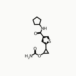 NC(=O)OC1CC1c1cc(C(=O)NC2CCCC2)cs1